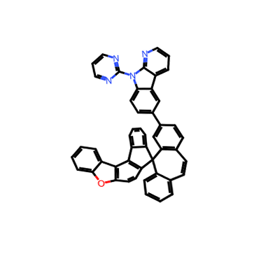 C1=Cc2ccc(-c3ccc4c(c3)c3cccnc3n4-c3ncccn3)cc2C2(c3ccccc31)c1ccccc1-c1c2ccc2oc3ccccc3c12